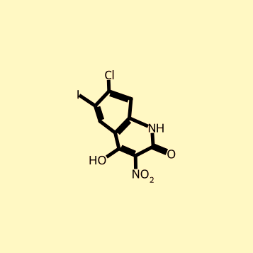 O=c1[nH]c2cc(Cl)c(I)cc2c(O)c1[N+](=O)[O-]